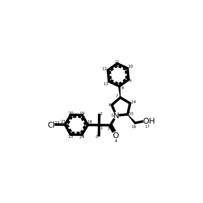 CC(C)(C(=O)N1C[C@@H](c2ccccc2)C[C@H]1CO)c1ccc(Cl)cc1